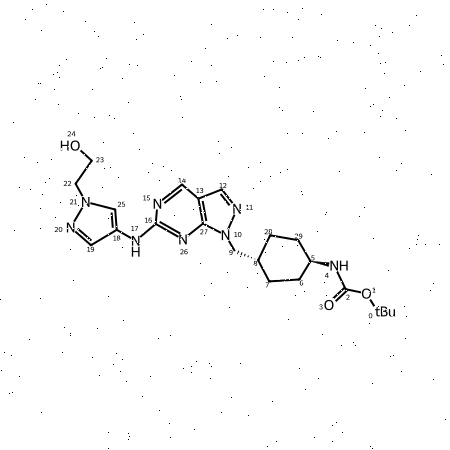 CC(C)(C)OC(=O)N[C@H]1CC[C@H](Cn2ncc3cnc(Nc4cnn(CCO)c4)nc32)CC1